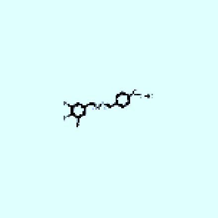 O=COc1ccc(/C=N/N=C/c2cc(F)c(F)c(F)c2)cc1